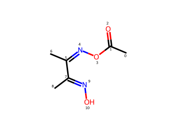 CC(=O)ON=C(C)C(C)=NO